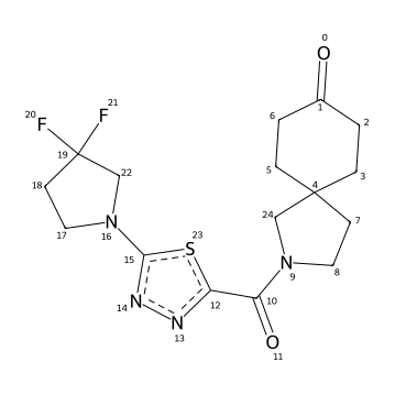 O=C1CCC2(CC1)CCN(C(=O)c1nnc(N3CCC(F)(F)C3)s1)C2